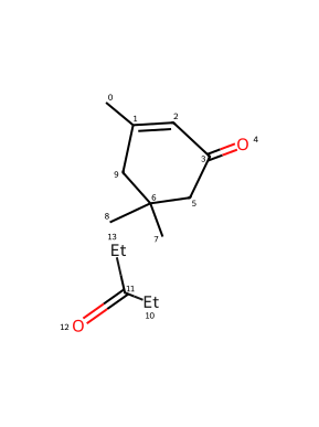 CC1=CC(=O)CC(C)(C)C1.CCC(=O)CC